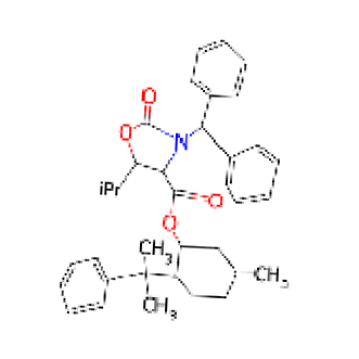 CC1CCC(C(C)(C)c2ccccc2)C(OC(=O)C2C(C(C)C)OC(=O)N2C(c2ccccc2)c2ccccc2)C1